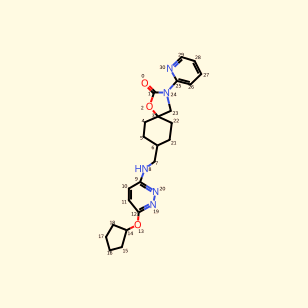 O=C1OC2(CCC(CNc3ccc(OC4CCCC4)nn3)CC2)CN1c1ccccn1